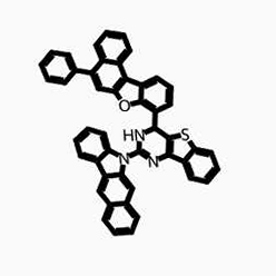 c1ccc(-c2cc3oc4c(C5NC(n6c7ccccc7c7cc8ccccc8cc76)=Nc6c5sc5ccccc65)cccc4c3c3ccccc23)cc1